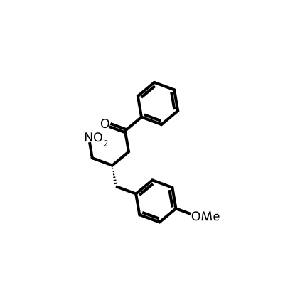 COc1ccc(C[C@@H](CC(=O)c2ccccc2)C[N+](=O)[O-])cc1